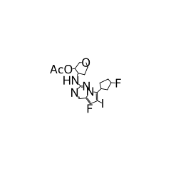 CC(=O)OC1COCCC1Nc1ncc2c(F)c(I)c(C3CCC(F)C3)n2n1